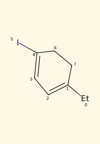 CCC1=CC=C(I)CC1